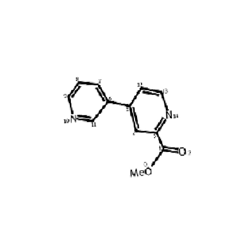 COC(=O)c1cc(-c2cccnc2)ccn1